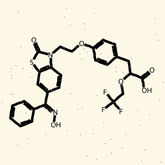 O=C(O)C(Cc1ccc(OCCn2c(=O)sc3cc(C(=NO)c4ccccc4)ccc32)cc1)OCC(F)(F)F